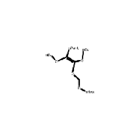 CCCCCCOCOC(OCCCC)=C(CCCCC)OCCCC